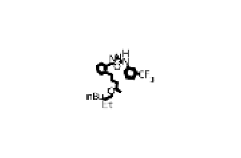 C=C(CCCc1ccccc1-c1nnc(Nc2cccc(C(F)(F)F)c2)o1)OCC(CC)CCCC